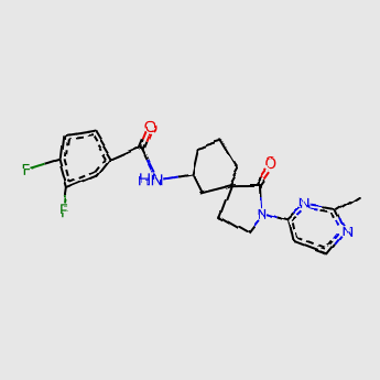 Cc1nccc(N2CCC3(CCCC(NC(=O)c4ccc(F)c(F)c4)C3)C2=O)n1